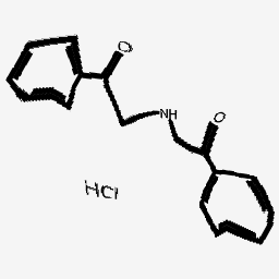 Cl.O=C(CNCC(=O)c1ccccc1)c1ccccc1